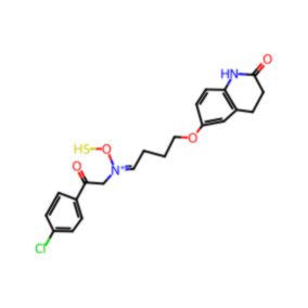 O=C1CCc2cc(OCCCC=[N+](CC(=O)c3ccc(Cl)cc3)OS)ccc2N1